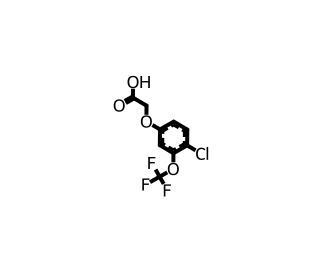 O=C(O)COc1ccc(Cl)c(OC(F)(F)F)c1